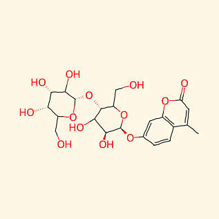 Cc1cc(=O)oc2cc(O[C@@H]3OC(CO)[C@@H](O[C@@H]4OC(CO)[C@H](O)[C@H](O)C4O)C(O)[C@@H]3O)ccc12